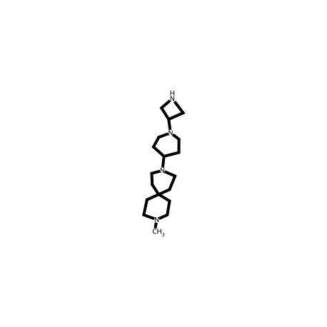 CN1CCC2(CC1)CCN(C1CCN(C3CNC3)CC1)CC2